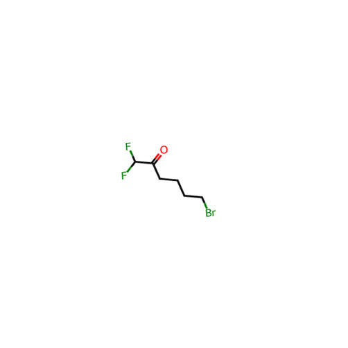 O=C(CCCCBr)C(F)F